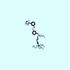 CN(CC=CC#CC(C)(C)C)Cc1cccc(OCc2cccc(-c3nnco3)c2)c1